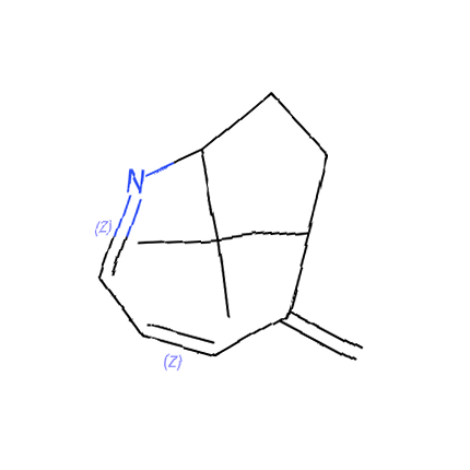 C=C1/C=C\C=N/C2CCC1C2(C)C